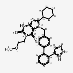 COCCn1c(=O)[nH]c2nc(C3CCCCC3)n(Cc3ccc(-c4ccccc4-c4nnn[nH]4)cc3)c2c1=O